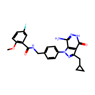 COc1ccc(F)cc1C(=O)NCc1ccc(-n2nc(CC3CC3)c3c(=O)[nH]nc(N)c32)cc1